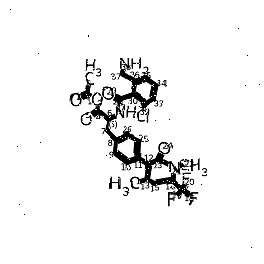 CC(=O)OC(=O)[C@H](Cc1ccc(-c2c(C)cc(C(F)(F)F)n(C)c2=O)cc1)NC(=O)c1c(Cl)cccc1CN